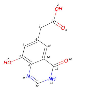 O=C(O)Cc1cc(O)c2nc[nH]c(=O)c2c1